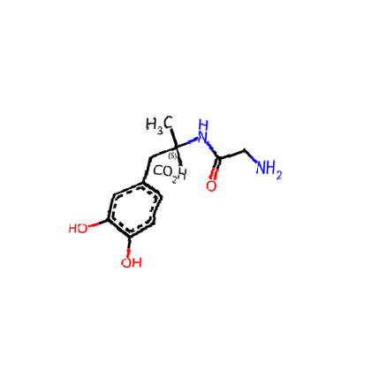 C[C@@](Cc1ccc(O)c(O)c1)(NC(=O)CN)C(=O)O